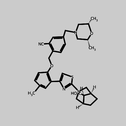 Cc1ccc(OCc2ccc(CN3C[C@@H](C)O[C@@H](C)C3)cc2C#N)c(-c2csc(N3C[C@H]4CC[C@@H](C3)[C@H]4C(=O)O)n2)c1